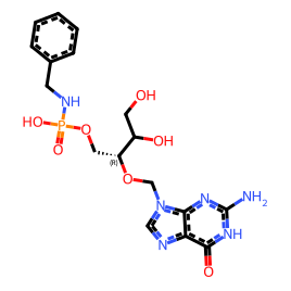 Nc1nc2c(ncn2CO[C@H](COP(=O)(O)NCc2ccccc2)C(O)CO)c(=O)[nH]1